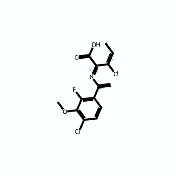 C=C(/N=C(C(=O)O)\C(Cl)=C/C)c1ccc(Cl)c(OC)c1F